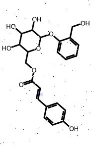 O=C(/C=C/c1ccc(O)cc1)OCC1OC(Oc2ccccc2CO)C(O)C(O)C1O